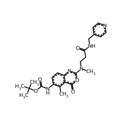 Cc1c(NC(=O)OC(C)(C)C)ccc2nc(N(C)CCC(=O)NCc3ccncc3)oc(=O)c12